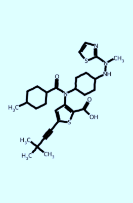 CC1CCC(C(=O)N(c2cc(C#CC(C)(C)C)sc2C(=O)O)C2CCC(NN(C)c3nccs3)CC2)CC1